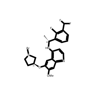 COc1cc2nccc(N[C@H](C)c3cccc(C(F)F)c3F)c2cc1O[C@H]1CCN(C(C)=O)C1